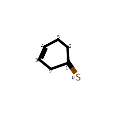 S=C1CC=CCC1